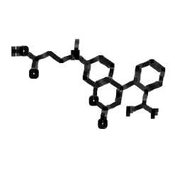 CN(CCC(=O)O)c1ccc2c(-c3ccccc3C(F)F)cc(=O)oc2c1